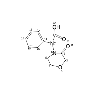 O=C1COCCN1N(C(=O)O)c1ccccc1